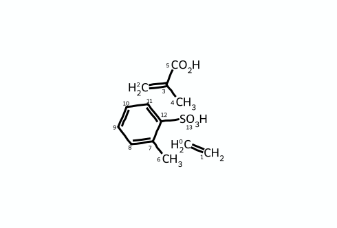 C=C.C=C(C)C(=O)O.Cc1ccccc1S(=O)(=O)O